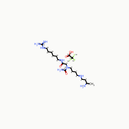 CC(N)CCNCCCCN(CC(=O)NCCCCCCNC(=N)N)C(N)=O.O=C(O)C(F)(F)F